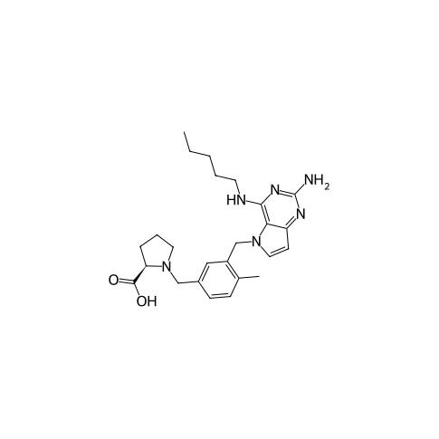 CCCCCNc1nc(N)nc2ccn(Cc3cc(CN4CCC[C@@H]4C(=O)O)ccc3C)c12